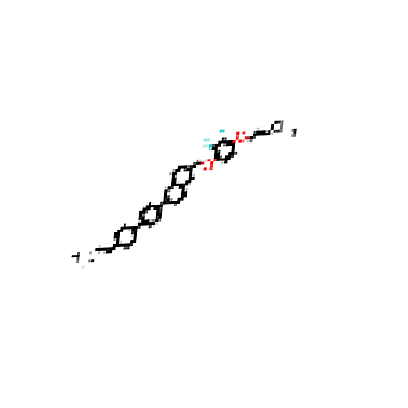 CCCCOc1ccc(OCC2CCC3CC(c4ccc(C5CCC(CCC)CC5)cc4)CCC3C2)c(F)c1F